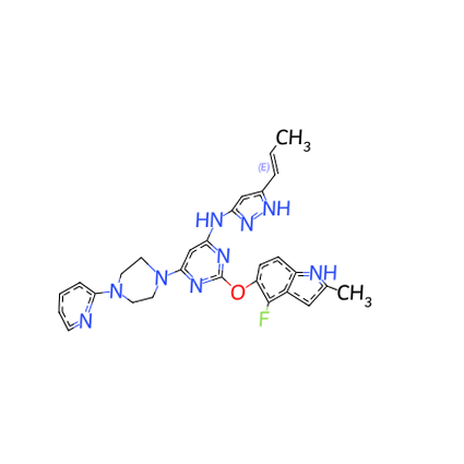 C/C=C/c1cc(Nc2cc(N3CCN(c4ccccn4)CC3)nc(Oc3ccc4[nH]c(C)cc4c3F)n2)n[nH]1